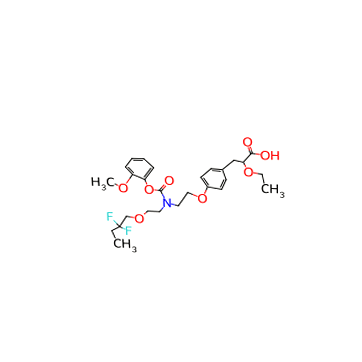 CCOC(Cc1ccc(OCCN(CCOCC(F)(F)CC)C(=O)Oc2ccccc2OC)cc1)C(=O)O